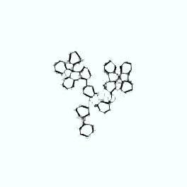 C1=C2Oc3cccc(N(c4ccc(-c5cccc6c5-c5ccccc5C6(c5ccccc5)c5ccccc5)cc4)c4cccc(-c5ccccc5)c4)c3OC2=CC2c3ccccc3C3(c4ccccc4-c4ccccc43)C12